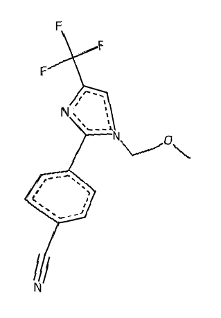 COCn1cc(C(F)(F)F)nc1-c1ccc(C#N)cc1